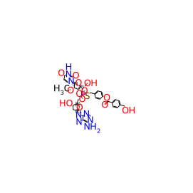 COC1C(OP(=O)(OC[C@H]2O[C@@H](n3cnc4c(N)ncnc43)CC2O)SCc2ccc(OC(=O)c3ccc(CO)cc3)cc2)[C@@H](CO)O[C@H]1n1ccc(=O)[nH]c1=O